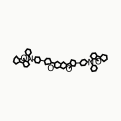 c1ccc(N(c2ccc(-c3ccc4c(c3)oc3cc5cc6oc7cc(-c8ccc(N(c9ccccc9)c9cccc%10c9oc9ccccc9%10)cc8)ccc7c6cc5cc34)cc2)c2cccc3c2oc2ccccc23)cc1